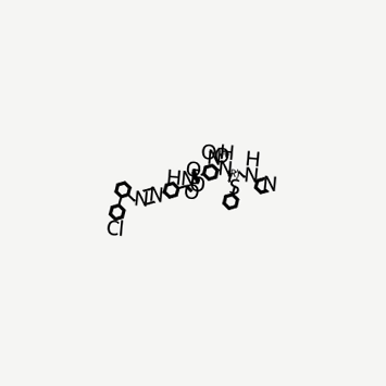 O=C(NS(=O)(=O)c1ccc(N[C@H](CCNc2cccnc2)CSc2ccccc2)c([N+](=O)[O-])c1)c1ccc(N2CCN(Cc3ccccc3-c3ccc(Cl)cc3)CC2)cc1